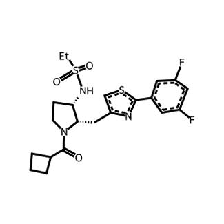 CCS(=O)(=O)N[C@H]1CCN(C(=O)C2CCC2)[C@H]1Cc1csc(-c2cc(F)cc(F)c2)n1